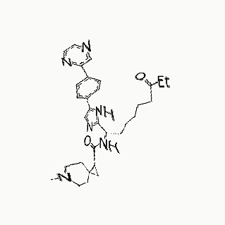 CCC(=O)CCCCC[C@H](NC(=O)[C@H]1CC12CCN(C)CC2)c1ncc(-c2ccc(-c3cnccn3)cc2)[nH]1